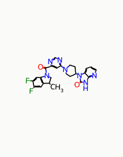 CC1CN(C(=O)c2cc(N3CCC(n4c(=O)[nH]c5ncccc54)CC3)ncn2)c2cc(F)c(F)cc21